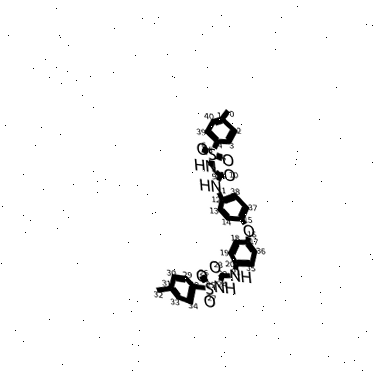 Cc1ccc(S(=O)(=O)NC(=O)Nc2ccc(Oc3ccc(NC(=O)NS(=O)(=O)c4ccc(C)cc4)cc3)cc2)cc1